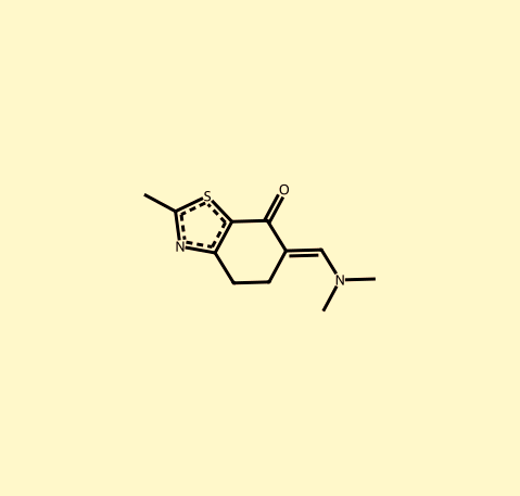 Cc1nc2c(s1)C(=O)C(=CN(C)C)CC2